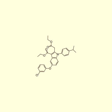 CCOC(=O)Cc1c(C(=O)OCC)c2cc(Oc3cccc(Cl)c3)ccc2n1-c1ccc(C(C)C)cc1